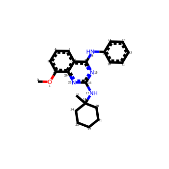 COc1cccc2c(Nc3ccccc3)nc(NC3(C)CCCCC3)nc12